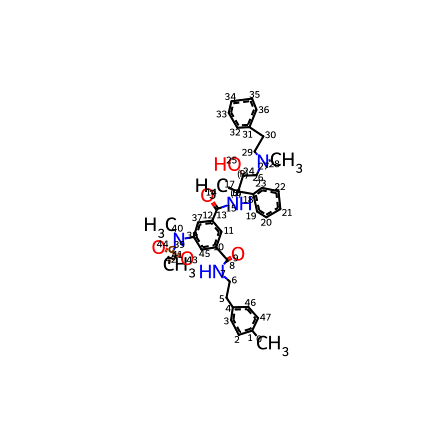 Cc1ccc(CCNC(=O)c2cc(C(=O)N[C@@](C)(c3ccccc3)[C@H](O)CN(C)CCc3ccccc3)cc(N(C)S(C)(=O)=O)c2)cc1